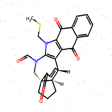 CSCn1c2c(c3c1N(C=O)C[C@@]14CCC[C@@H]1[C@@H]3C=CC4=O)C(=O)c1ccccc1C2=O